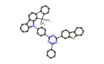 CC1(C)c2ccccc2-c2ccc3c4ccccc4n(-c4ccc(-c5nc(-c6ccccc6)nc(-c6ccc7c(c6)sc6ccccc67)n5)cc4)c3c21